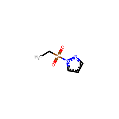 CCS(=O)(=O)n1cc[c]n1